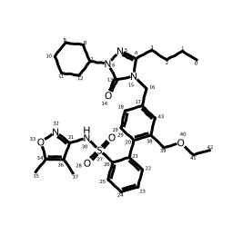 CCCCc1nn(C2CCCCC2)c(=O)n1Cc1ccc(-c2ccccc2S(=O)(=O)Nc2noc(C)c2C)c(COCC)c1